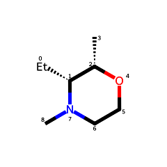 CC[C@@H]1[C@H](C)OCCN1C